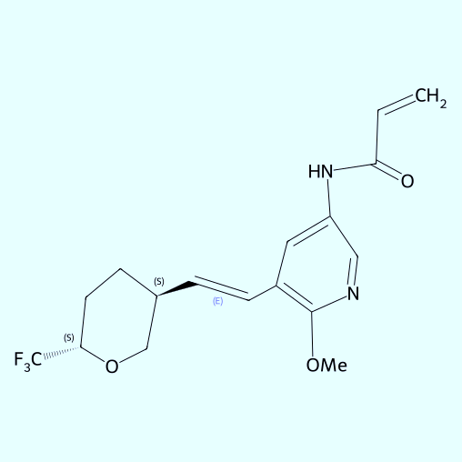 C=CC(=O)Nc1cnc(OC)c(/C=C/[C@@H]2CC[C@@H](C(F)(F)F)OC2)c1